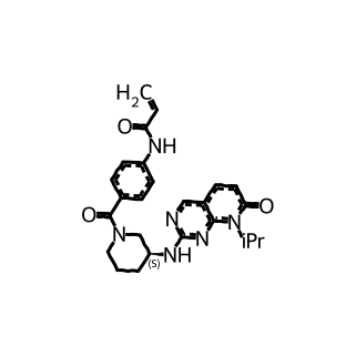 C=CC(=O)Nc1ccc(C(=O)N2CCC[C@H](Nc3ncc4ccc(=O)n(C(C)C)c4n3)C2)cc1